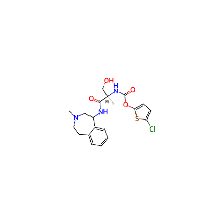 CN1CCc2ccccc2C(NC(=O)[C@@](C)(CO)NC(=O)Oc2ccc(Cl)s2)C1